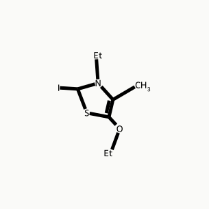 CCOC1=C(C)N(CC)C(I)S1